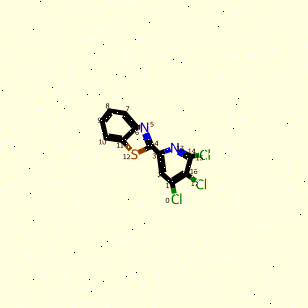 Clc1cc(-c2nc3ccccc3s2)nc(Cl)c1Cl